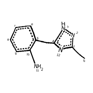 Cc1n[nH]c(-c2ccccc2N)n1